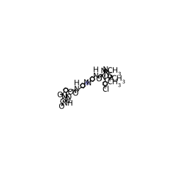 Cc1sc2c(c1C)C(c1ccc(Cl)cc1)=N[C@@H](CC(=O)Nc1ccc(/N=N/c3ccc(CNC(=O)COc4cccc5c4C(=O)N(C4CCC(=O)NC4=O)C5=O)cc3)cc1)c1nnc(C)n1-2